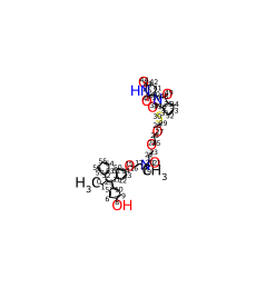 CC/C(=C(\c1ccc(O)cc1)c1ccc(OCCN(C)C(=O)CCOCCOCCSc2cccc3c2C(=O)N(C2CCC(=O)NC2=O)C3=O)cc1)c1ccccc1